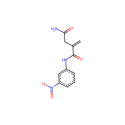 C=C(CC(N)=O)C(=O)Nc1cccc([N+](=O)[O-])c1